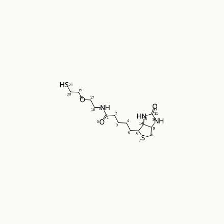 O=C(CCCCC1SCC2NC(=O)NC21)NCCOCCS